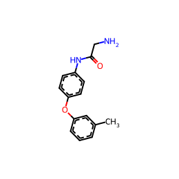 Cc1cccc(Oc2ccc(NC(=O)CN)cc2)c1